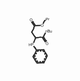 CCCCC(=O)C(CC(=O)OC(C)C)Pc1ccccc1